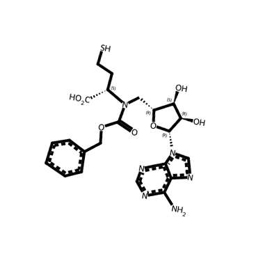 Nc1ncnc2c1ncn2[C@@H]1O[C@H](CN(C(=O)OCc2ccccc2)[C@@H](CCS)C(=O)O)[C@@H](O)[C@H]1O